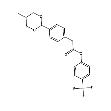 CC1COC(c2ccc(CC(=O)Oc3ccc(C(F)(F)F)cc3)cc2)OC1